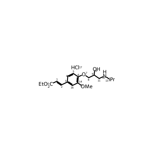 CCOC(=O)C=Cc1ccc(OCC(O)CNC(C)C)c(OC)c1.Cl